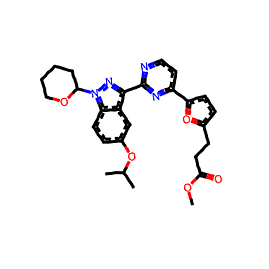 COC(=O)CCc1ccc(-c2ccnc(-c3nn(C4CCCCO4)c4ccc(OC(C)C)cc34)n2)o1